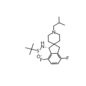 C[C](C)CN1CCC2(CC1)Cc1c(F)ccc(F)c1[C@@H]2N[S@+]([O-])C(C)(C)C